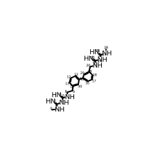 CNC(=N)NC(=N)NCCc1cccc(-c2cccc(CNC(=N)NC(=N)NC)c2)c1